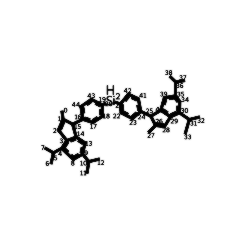 CC1=Cc2c(C(C)C)cc(C(C)C)cc2C1c1ccc([SiH2]c2ccc(C3C(C)=Cc4c(C(C)C)cc(C(C)C)cc43)cc2)cc1